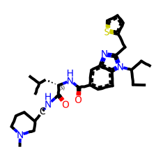 CCC(CC)n1c(Cc2cccs2)nc2cc(C(=O)N[C@@H](CC(C)C)C(=O)NCC3CCCN(C)C3)ccc21